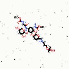 CC(C)(C)OC(=O)NCC(=O)N[C@@H]1C[C@H](NC(=O)OC(C)(C)C)[C@@H](O[C@@H]2CCC=C(CNCCCOC(C)(C)O)O2)[C@H](O)[C@H]1O[C@H]1OC[C@](C)(O)C[C@H]1O